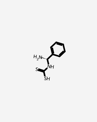 N[C@@H](NC(=S)S)c1ccccc1